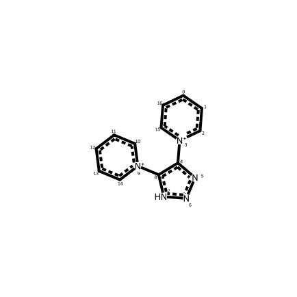 c1cc[n+](-c2nn[nH]c2-[n+]2ccccc2)cc1